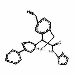 CC1(C(=O)Nc2nccs2)Cc2ccc(C#N)cc2C1c1ccc(-c2ccccc2)cc1